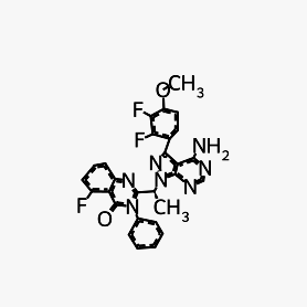 COc1ccc(-c2nn([C@@H](C)c3nc4cccc(F)c4c(=O)n3-c3ccccc3)c3ncnc(N)c23)c(F)c1F